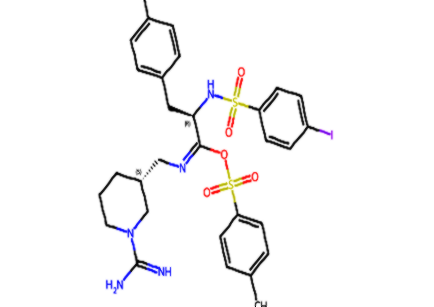 Cc1ccc(S(=O)(=O)OC(=NC[C@H]2CCCN(C(=N)N)C2)[C@@H](Cc2ccc([N+](=O)[O-])cc2)NS(=O)(=O)c2ccc(I)cc2)cc1